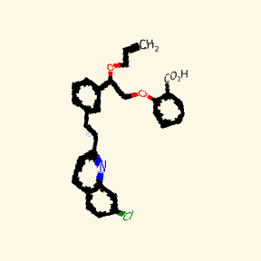 C=CCOC(COc1ccccc1C(=O)O)c1cccc(/C=C/c2ccc3ccc(Cl)cc3n2)c1